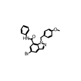 COc1ccc(Cn2ncc3cc(Br)cc(C(=O)Nc4ccccc4)c32)cc1